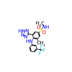 CNS(=O)(=O)c1cc(C)c(Nc2cccc(C(F)(F)F)c2)c(-c2nn[nH]n2)c1